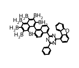 Bc1c(B)c(B)c2c(-c3cccc4c(-c5nc(-c6ccccc6)nc(-c6cccc7oc8ccccc8c67)n5)cccc34)c(B)c(B)c(B)c2c1B